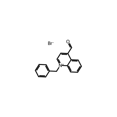 O=Cc1cc[n+](Cc2ccccc2)c2ccccc12.[Br-]